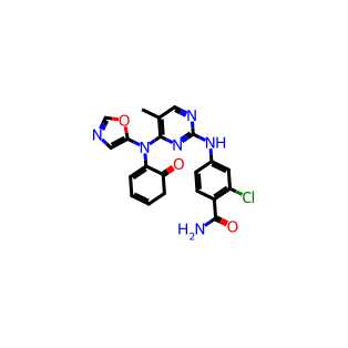 Cc1cnc(Nc2ccc(C(N)=O)c(Cl)c2)nc1N(C1=CC=CCC1=O)c1cnco1